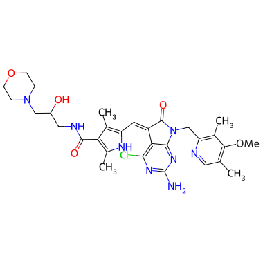 COc1c(C)cnc(CN2C(=O)/C(=C/c3[nH]c(C)c(C(=O)NCC(O)CN4CCOCC4)c3C)c3c(Cl)nc(N)nc32)c1C